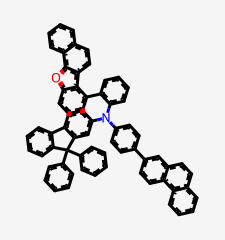 c1ccc(C2(c3ccccc3)c3ccccc3-c3ccc(N(c4ccc(-c5ccc6c(ccc7ccccc76)c5)cc4)c4ccccc4-c4cccc5oc6c7ccccc7ccc6c45)cc32)cc1